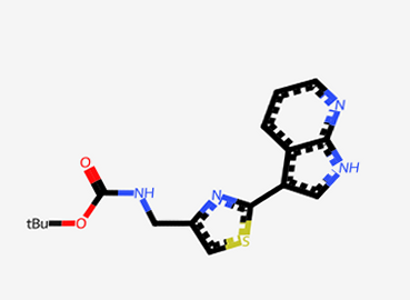 CC(C)(C)OC(=O)NCc1csc(-c2c[nH]c3ncccc23)n1